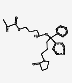 C=C(C)C(=O)OCCC[SiH2]O[Si](CCCN1CCCC1=O)(c1ccccc1)c1ccccc1